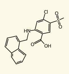 CS(=O)(=O)c1cc(C(=O)O)c(NCc2cccc3ccccc23)cc1Cl